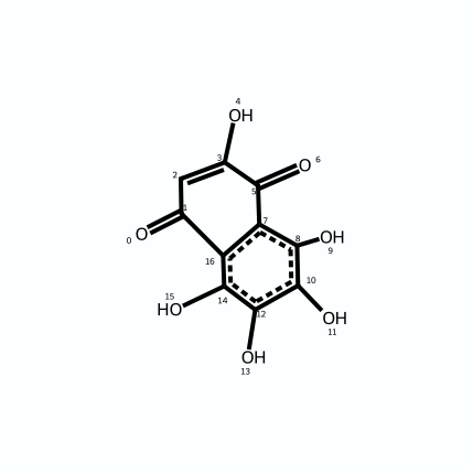 O=C1C=C(O)C(=O)c2c(O)c(O)c(O)c(O)c21